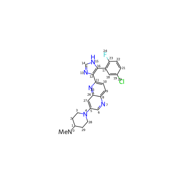 CNC1CCN(c2cnc3ccc(-c4nc[nH]c4-c4cc(Cl)ccc4F)nc3c2)CC1